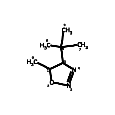 CC1ON=NC1C(C)(C)C